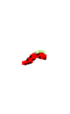 CCCCC1CCC(c2ccc(OC(F)(F)/C=C/c3ccc(OCC)c(F)c3F)cc2)CC1